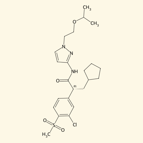 CC(C)OCCn1ccc(NC(=O)[C@H](CC2CCCC2)c2ccc(S(C)(=O)=O)c(Cl)c2)n1